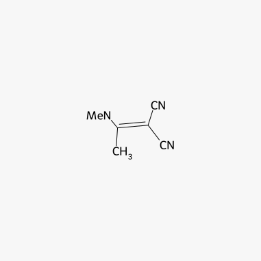 CNC(C)=C(C#N)C#N